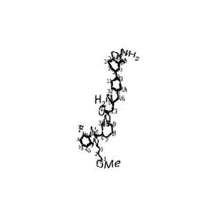 COCCCn1c(C2CCCN(C(=O)CC(N)Cc3ccc(-c4ccc5oc(N)nc5c4)cc3)C2)nc2c(F)cccc21